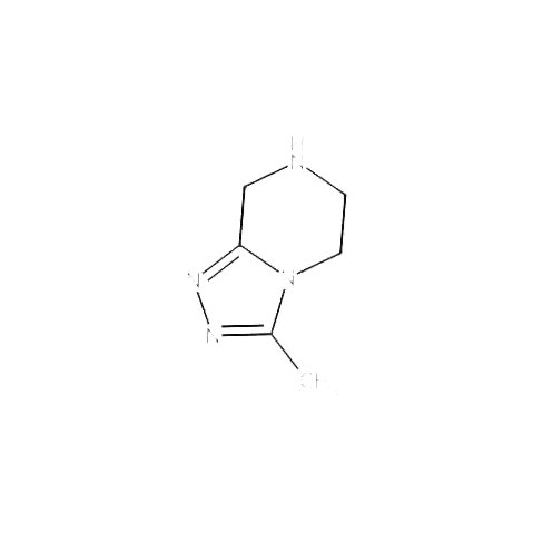 Cc1nnc2n1CCNC2